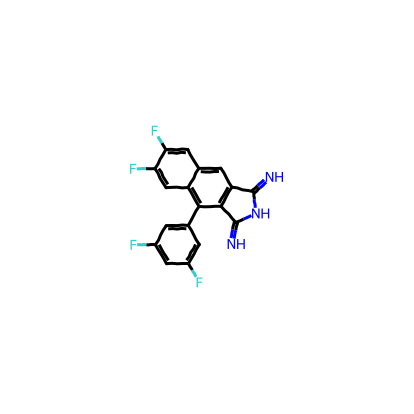 N=C1NC(=N)c2c1cc1cc(F)c(F)cc1c2-c1cc(F)cc(F)c1